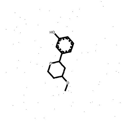 COC1CCOC(c2cccc(O)c2)C1